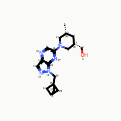 C[C@@H]1C[C@H](CO)CN(c2cnc3cnn(CC45CC(C4)C5)c3n2)C1